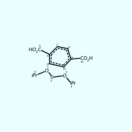 CC(C)[O][Ti][O]C(C)C.O=C(O)c1ccc(C(=O)O)cc1